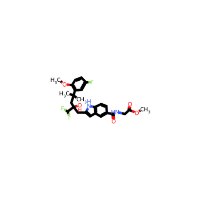 COC(=O)CNC(=O)c1ccc2[nH]c(CC(O)(CC(C)(C)c3cc(F)ccc3OC)C(F)F)cc2c1